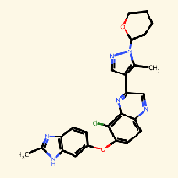 Cc1nc2ccc(Oc3ccc4ncc(-c5cnn(C6CCCCO6)c5C)nc4c3Cl)cc2[nH]1